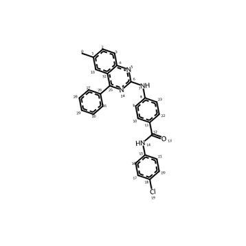 Cc1ccc2nc(Nc3ccc(C(=O)Nc4ccc(Cl)cc4)cc3)nc(-c3ccccc3)c2c1